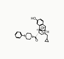 O=C([C@@H]1C[C@]23CCN(CC4CC4)[C@H](Cc4ccc(O)cc42)[C@]3(O)C1)N1CCN(c2ccccc2)CC1